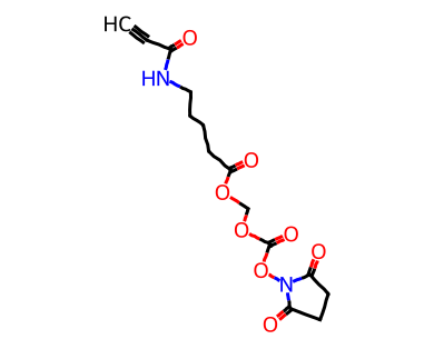 C#CC(=O)NCCCCC(=O)OCOC(=O)ON1C(=O)CCC1=O